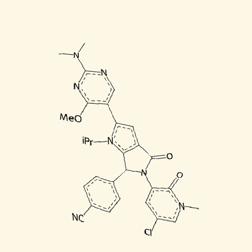 COc1nc(N(C)C)ncc1-c1cc2c(n1C(C)C)C(c1ccc(C#N)cc1)N(c1cc(Cl)cn(C)c1=O)C2=O